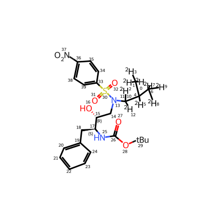 [2H]C([2H])([2H])C([2H])(C([2H])([2H])[2H])C([2H])([2H])N(C[C@@H](O)[C@H](Cc1ccccc1)NC(=O)OC(C)(C)C)S(=O)(=O)c1ccc([N+](=O)[O-])cc1